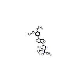 C=C(/C=C\C(OC)=C(/C)O)[C@@H]1OCC2C1CO[C@@H]2c1ccc(OC)c(OC)c1